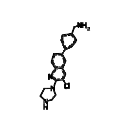 NCc1ccc(-c2ccc3nc(N4CCNCC4)c(Cl)cc3c2)cc1